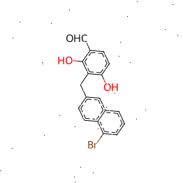 O=Cc1ccc(O)c(Cc2ccc3c(Br)cccc3c2)c1O